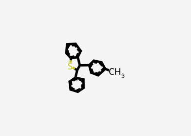 Cc1ccc(C2c3ccccc3SC2c2ccccc2)cc1